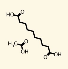 CC(=O)O.O=C(O)CCCCCCCCC(=O)O